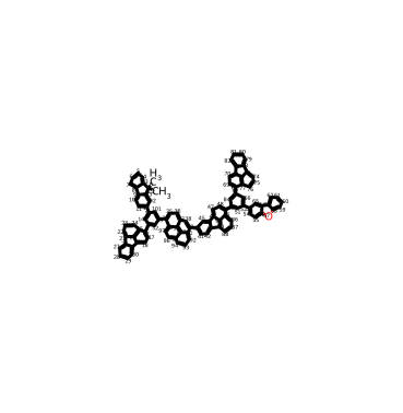 CC1(C)c2ccccc2-c2ccc(-c3cc(-c4ccc5c6c(cccc46)-c4ccccc4-5)cc(-c4ccc5cc(-c6ccc7c(c6)-c6ccc(-c8cc(-c9ccc%10oc%11ccccc%11c%10c9)cc(-c9ccc%10c%11c(cccc9%11)-c9ccccc9-%10)c8)c8cccc-7c68)c6cccc7ccc4c5c76)c3)cc21